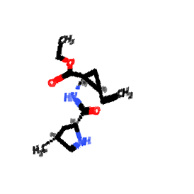 C=C[C@@H]1C[C@]1(NC(=O)[C@H]1C[C@@H](C)CN1)C(=O)OCC